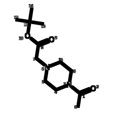 CC(=O)N1CCN(CC(=O)OC(C)(C)C)CC1